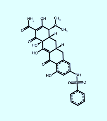 CN(C)[C@@H]1C(O)=C(C(N)=O)C(=O)[C@@]2(O)C(O)=C3C(=O)c4c(O)cc(NS(=O)(=O)c5ccccc5)cc4C[C@H]3C[C@@H]12